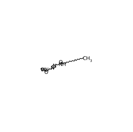 CCCCCCCCCCCCCCCCCC(=O)NCCCN1CCN(CCCNC(=O)c2ccccc2)CC1